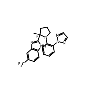 C[C@@]1(c2nc3cc(C(F)(F)F)ccc3[nH]2)CCCN1c1ccc[c]c1-n1nccn1